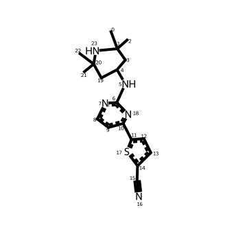 CC1(C)CC(Nc2nccc(-c3ccc(C#N)s3)n2)CC(C)(C)N1